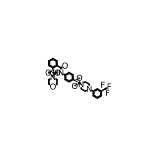 O=C(Nc1ccc(S(=O)(=O)N2CCN(c3cccc(C(F)(F)F)c3)CC2)cc1)c1ccccc1S(=O)(=O)N1CCOCC1